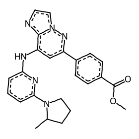 COC(=O)c1ccc(-c2cc(Nc3cccc(N4CCCC4C)n3)c3nccn3n2)cc1